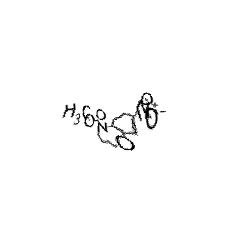 COC(=O)N1CCCOc2cc([N+](=O)[O-])ccc21